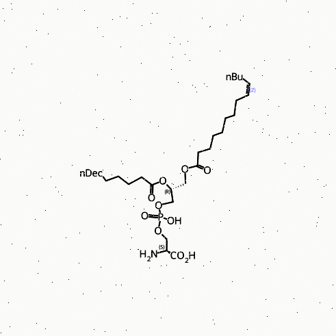 CCCC/C=C\CCCCCCCC(=O)OC[C@H](COP(=O)(O)OC[C@H](N)C(=O)O)OC(=O)CCCCCCCCCCCCCC